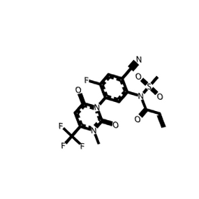 C=CC(=O)N(c1cc(-n2c(=O)cc(C(F)(F)F)n(C)c2=O)c(F)cc1C#N)S(C)(=O)=O